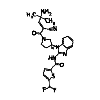 CC(C)(N)C=C(C#N)C(=O)N1CC[C@H](n2c(NC(=O)c3ccc(C(F)F)s3)nc3ccccc32)C1